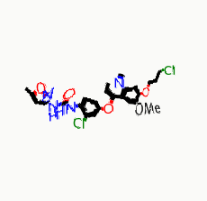 C=Nc1cc(OCCCCl)c(OC)cc1/C(=C\C)Oc1ccc(NC(=O)Nc2cc(C)on2)c(Cl)c1